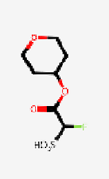 O=C(OC1CCOCC1)C(F)S(=O)(=O)O